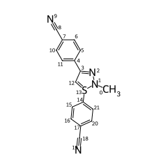 CN1N=C(c2ccc(C#N)cc2)C=S1c1ccc(C#N)cc1